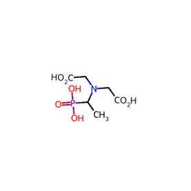 CC(N(CC(=O)O)CC(=O)O)P(=O)(O)O